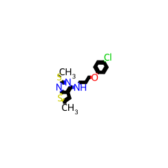 CSc1nc(NCCCOc2ccc(Cl)cc2)c2cc(C)sc2n1